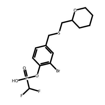 O=P(O)(Oc1ccc(CSCC2CCCCO2)cc1Br)C(F)F